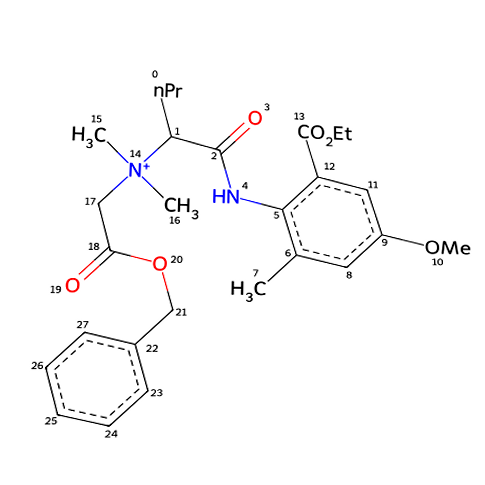 CCCC(C(=O)Nc1c(C)cc(OC)cc1C(=O)OCC)[N+](C)(C)CC(=O)OCc1ccccc1